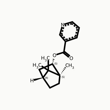 CC1(C)[C@@H]2CC[C@]1(C)[C@@H](OC(=O)c1cccnc1)C2